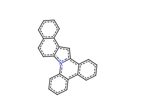 c1ccc2c(c1)ccc1c2cc2c3ccccc3c3ccccc3n12